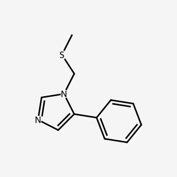 CSCn1cncc1-c1ccccc1